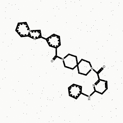 O=C(C1=NC(Nc2ccccc2)CC=C1)N1CCC2(CC1)CCN(C(=O)c1cccc(-c3cn4ccccc4n3)c1)CC2